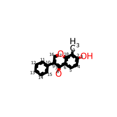 Cc1c(O)ccc2c(=O)c(-c3ccccc3)coc12